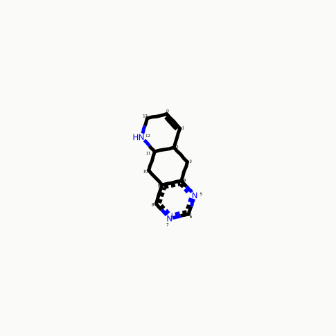 C1=CC2Cc3ncncc3CC2NC1